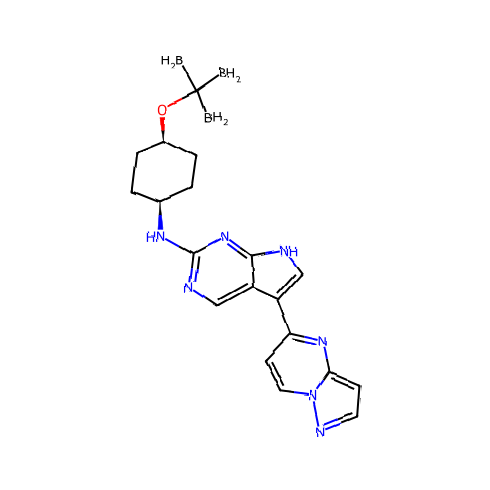 BC(B)(B)O[C@H]1CC[C@@H](Nc2ncc3c(-c4ccn5nccc5n4)c[nH]c3n2)CC1